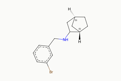 Brc1cccc(CNC2C[C@H]3CC[C@H]2C3)c1